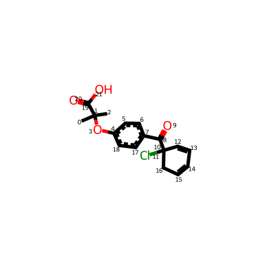 CC(C)(Oc1ccc(C(=O)C2(Cl)C=CC=CC2)cc1)C(=O)O